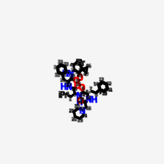 CC(C)C[C@H](NC(=O)[C@H](CCc1ccccc1)NC(=O)CN1CCCCC1)C(=O)N[C@@H](Cc1ccccc1)C(=O)N[C@@H](CC(C)C)C(=O)C1(C)CC1